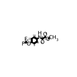 COC(=O)C(=O)Nc1ccc(OC(F)F)cc1